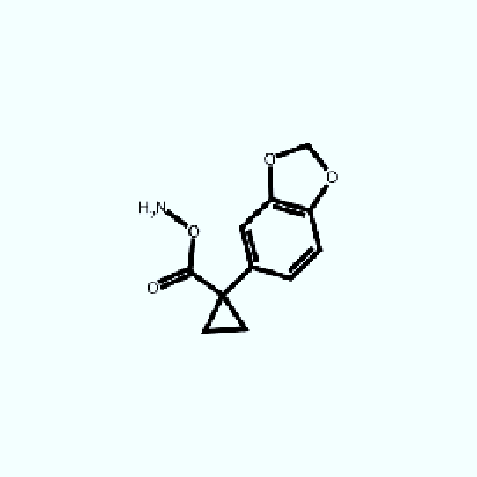 NOC(=O)C1(c2ccc3c(c2)OCO3)CC1